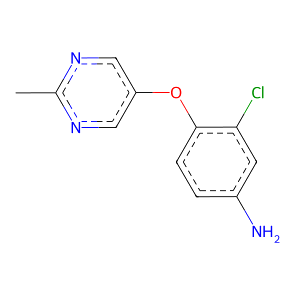 Cc1ncc(Oc2ccc(N)cc2Cl)cn1